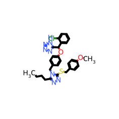 CCCCc1nnc(SCc2ccc(OC)cc2)n1Cc1ccc(OC(c2nnn[nH]2)c2ccccc2Cl)cc1